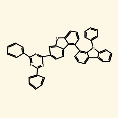 c1ccc(-c2nc(-c3ccccc3)nc(-c3ccc4c(c3)oc3cccc(-c5cccc6c7ccccc7n(-c7ccccc7)c56)c34)n2)cc1